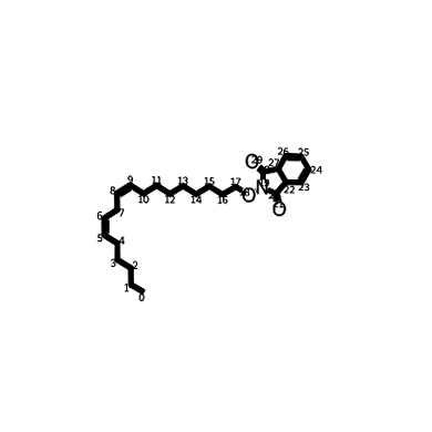 CCCCC/C=C\C/C=C\CCCCCCCCON1C(=O)C2C=CC=CC2C1=O